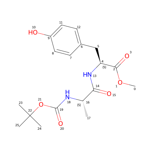 COC(=O)[C@H](Cc1ccc(O)cc1)NC(=O)[C@H](C)NC(=O)OC(C)(C)C